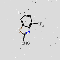 O=Cc1nc2c(C(F)(F)F)cccc2s1